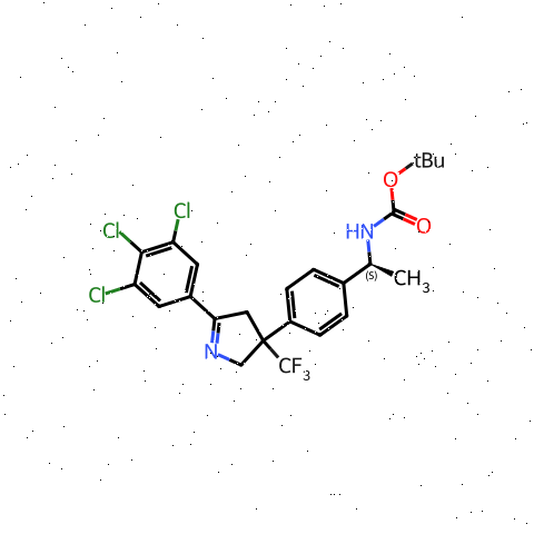 C[C@H](NC(=O)OC(C)(C)C)c1ccc(C2(C(F)(F)F)CN=C(c3cc(Cl)c(Cl)c(Cl)c3)C2)cc1